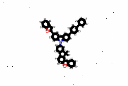 CC1(C)c2cc(-n3c4ccc(-c5ccc(-c6ccccc6)cc5)cc4c4cc(-c5cc6ccccc6o5)ccc43)ccc2-c2ccc3oc4ccccc4c3c21